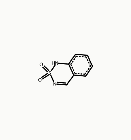 O=S1(=O)N=Cc2ccccc2N1